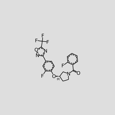 O=C(c1ccccc1F)N1CC[C@@H](Oc2ccc(-c3noc(C(F)(F)F)n3)cc2F)C1